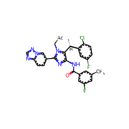 CC(=O)Cn1c(-c2ccc3ncnn3c2)nc(NC(=O)c2cc(F)cc(C(F)(F)F)c2)c1[C@H](C)c1cc(F)ccc1Cl